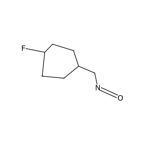 O=NCC1CCC(F)CC1